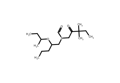 CCCC(CN(C=O)CC(=O)C(C)(C)CC)OC(C)CC